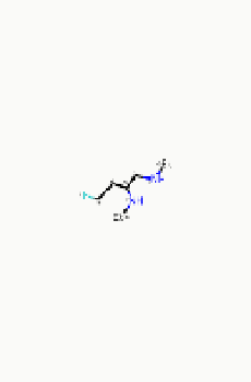 CCNCC(CCF)NCC